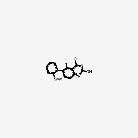 CSc1ccccc1-c1ccc2nc(O)nc(O)c2c1F